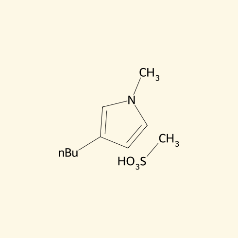 CCCCc1ccn(C)c1.CS(=O)(=O)O